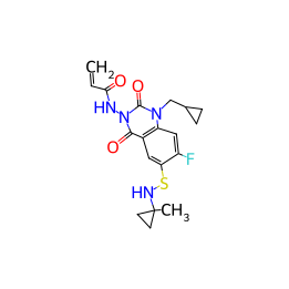 C=CC(=O)Nn1c(=O)c2cc(SNC3(C)CC3)c(F)cc2n(CC2CC2)c1=O